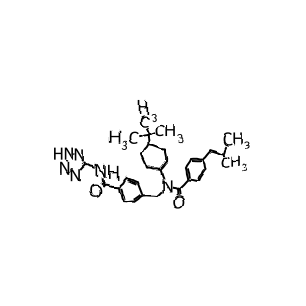 CC(C)Cc1ccc(C(=O)N(Cc2ccc(C(=O)Nc3nn[nH]n3)cc2)C2CCC(C(C)(C)C)CC2)cc1